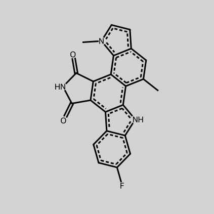 Cc1cc2ccn(C)c2c2c3c(c4c5ccc(F)cc5[nH]c4c12)C(=O)NC3=O